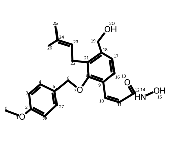 COc1ccc(COc2c(/C=C\C(=O)NO)ccc(CO)c2CC=C(C)C)cc1